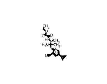 CCOC(=O)C(=O)NN(C)C(C)(C)/N=c1\[nH]cc(C2CC2)cc1C#N